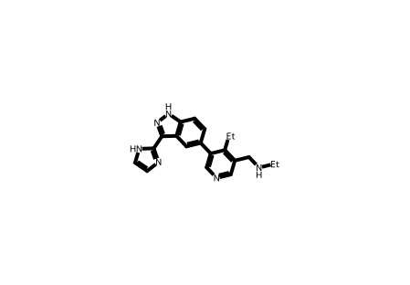 CCNCc1cncc(-c2ccc3[nH]nc(-c4ncc[nH]4)c3c2)c1CC